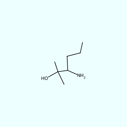 CCCC(N)C(C)(C)O